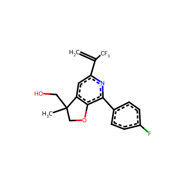 C=C(c1cc2c(c(-c3ccc(F)cc3)n1)OCC2(C)CO)C(F)(F)F